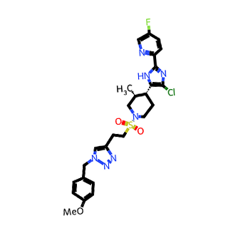 COc1ccc(Cn2cc(CCS(=O)(=O)N3CC[C@@H](c4[nH]c(-c5ccc(F)cn5)nc4Cl)[C@@H](C)C3)nn2)cc1